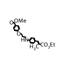 CCOC(=O)C(C)=Cc1ccc(NCCCOc2ccc(C(=O)OC)cc2)cc1